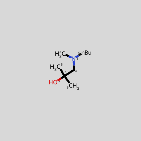 CCCCN(C)CC(C)(C)O